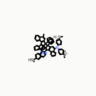 C[SiH2]c1ccc(N(c2ccc([SiH2]C)cc2)c2cc3c(c4ccccc24)-c2c(cc(C)c4ccccc24)C3(c2ccccc2)C2(c3ccccc3)c3cc(C)c4ccccc4c3-c3c2cc(Nc2ccc([SiH](C)C)cc2)c2ccccc32)cc1